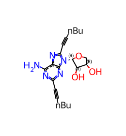 CCCCC#Cc1nc(N)c2nc(C#CCCCC)n([C@@H]3OC[C@@H](O)[C@H]3O)c2n1